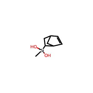 C[Si](O)(O)C1CC2C=CC1C2